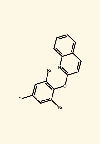 Clc1cc(Br)c(Oc2ccc3ccccc3n2)c(Br)c1